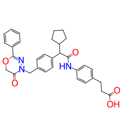 O=C(O)CCc1ccc(NC(=O)C(c2ccc(CN3N=C(c4ccccc4)OCC3=O)cc2)C2CCCC2)cc1